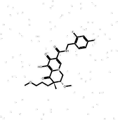 COCCC[C@]1(C)C(=O)c2c(O)c(=O)c(C(=O)NCc3ccc(F)cc3F)cn2C[C@@H]1OC